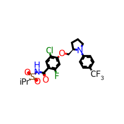 CC(C)S(=O)(=O)NC(=O)c1cc(Cl)c(OC[C@H]2CCCN2c2ccc(C(F)(F)F)cc2)cc1F